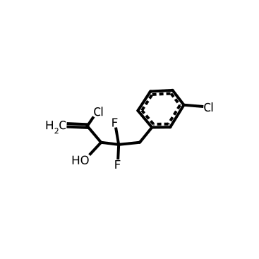 C=C(Cl)C(O)C(F)(F)Cc1cccc(Cl)c1